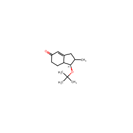 CC1CC2=CC(=O)CCC2[C@@H]1OC(C)(C)C